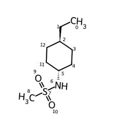 CC[C@H]1CC[C@H](NS(C)(=O)=O)CC1